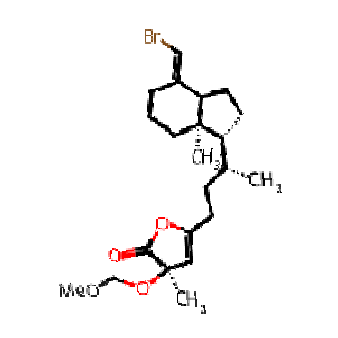 COCO[C@]1(C)C=C(CC[C@@H](C)[C@H]2CCC3/C(=C/Br)CCC[C@@]32C)OC1=O